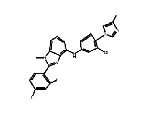 Cc1cn(-c2ccc(Nc3cccc4c3nc(-c3ccc(F)cc3F)n4C)cc2O)cn1